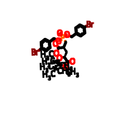 COC(=O)[C@H](C[C@H](O[Si](C)(C)C(C)(C)C)C(=O)OC)CP(=O)(OCc1ccc(Br)cc1)OCc1ccc(Br)cc1